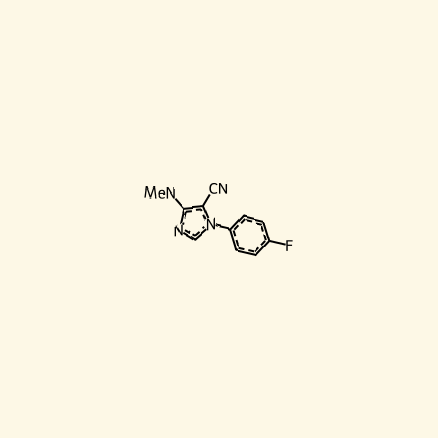 CNc1ncn(-c2ccc(F)cc2)c1C#N